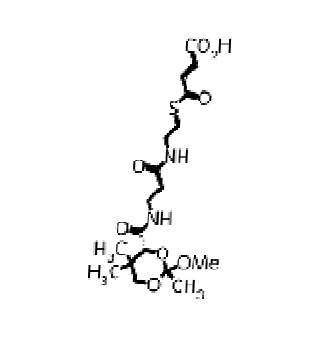 COC1(C)OCC(C)(C)[C@H](C(=O)NCCC(=O)NCCSC(=O)/C=C/C(=O)O)O1